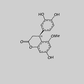 COc1cc(O)cc2c1[C@H](c1ccc(O)c(O)c1)CC(=O)O2